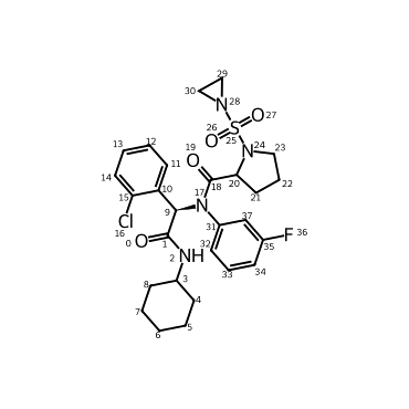 O=C(NC1CCCCC1)[C@@H](c1ccccc1Cl)N(C(=O)C1CCCN1S(=O)(=O)N1CC1)c1cccc(F)c1